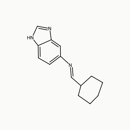 C(=N\c1ccc2[nH]cnc2c1)/C1CCCCC1